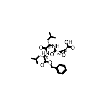 CC(C)C[C@H](NC(=O)[C@H]1O[C@@H]1C(=O)O)C(=O)N[C@@H](CC(C)C)C(=O)OCc1ccccc1